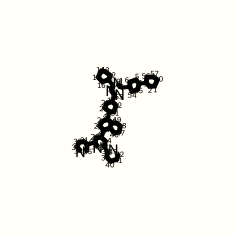 c1ccc(-c2ccc(-c3nc(-c4ccccc4)nc(-c4ccc(-c5ccc(-c6cc(-c7cccnc7)nc(-c7ccccn7)c6)c6ccccc56)cc4)n3)cc2)cc1